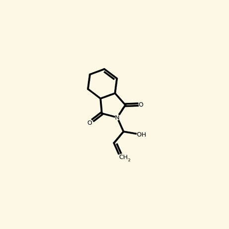 C=CC(O)N1C(=O)C2C=CCCC2C1=O